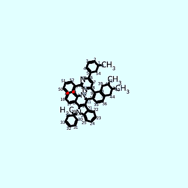 CC1C=CC=C(c2cc(-c3c(-c4nc5ccccc5c5c4c4ccccc4n5[C@]4(C)C=CC=CC4)ccc4c3CC(C)C(C)C4)nc(-c3ccccc3)n2)C1